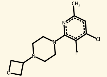 Cc1cc(Cl)c(F)c(N2CCN(C3COC3)CC2)n1